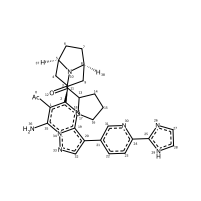 CC(=O)c1c([C@H]2C[C@H]3CC[C@@H](C2)N3C(=O)C2CCCO2)nc2c(-c3ccc(-c4ncc[nH]4)nc3)cnn2c1N